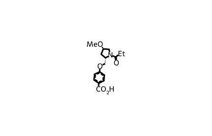 CCC(=O)N1C[C@H](OC)C[C@H]1COc1ccc(C(=O)O)cc1